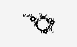 CC[C@@H]1[C@@H]2CN(C(=O)[C@H](C3(C)CCCC3)NC(=O)O[C@]3(C)CCC[C@H]3CCCCC(F)(F)c3nc4ccc(OC)cc4nc3O2)[C@@H]1C(C)=O